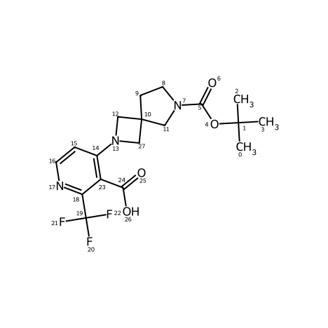 CC(C)(C)OC(=O)N1CCC2(C1)CN(c1ccnc(C(F)(F)F)c1C(=O)O)C2